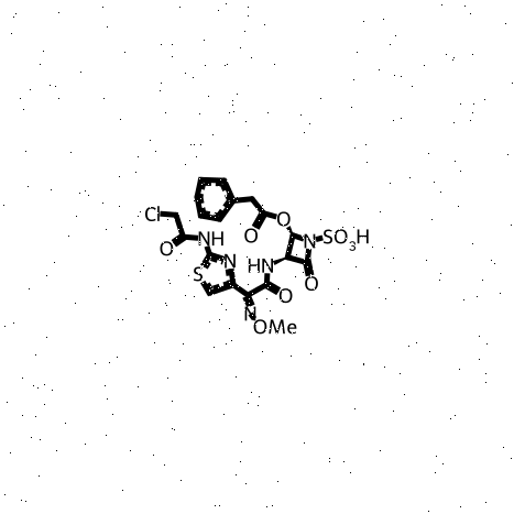 CO/N=C(\C(=O)N[C@@H]1C(=O)N(S(=O)(=O)O)[C@@H]1OC(=O)Cc1ccccc1)c1csc(NC(=O)CCl)n1